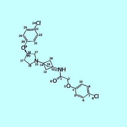 O=C(COc1ccc(Cl)cc1)NC12CC(N3CC[C@@H](Oc4ccc(Cl)cc4)C3)(C1)C2